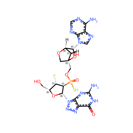 Nc1nc2c(nnn2[C@@H]2O[C@H](CO)[C@H](F)[C@H]2P(=O)(S)OC[C@@]23CO[C@@H]([C@H](n4cnc5c(N)ncnc54)O2)[C@@H]3O)c(=O)[nH]1